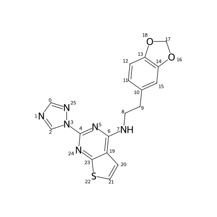 c1ncn(-c2nc(NCCc3ccc4c(c3)OCO4)c3ccsc3n2)n1